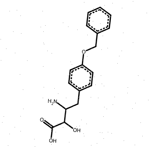 NC(Cc1ccc(OCc2ccccc2)cc1)C(O)C(=O)O